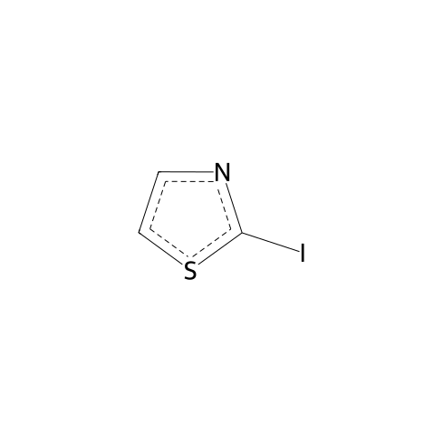 Ic1nccs1